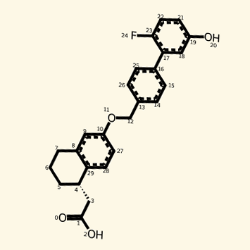 O=C(O)C[C@@H]1CCCc2cc(OCc3ccc(-c4cc(O)ccc4F)cc3)ccc21